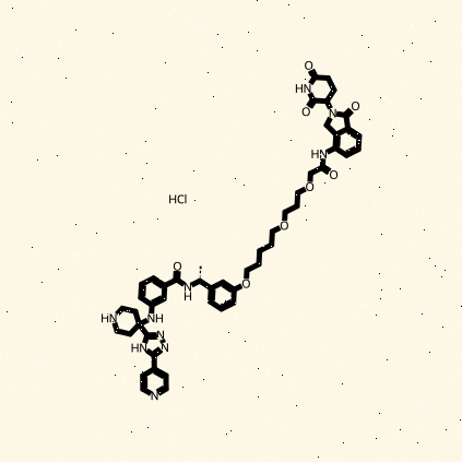 C[C@@H](NC(=O)c1cccc(NC2(c3nnc(-c4ccncc4)[nH]3)CCNCC2)c1)c1cccc(OCCCCCOCCCOCC(=O)Nc2cccc3c2CN(C2CCC(=O)NC2=O)C3=O)c1.Cl